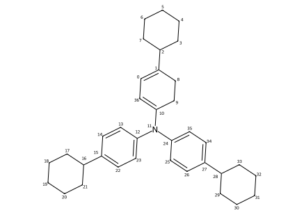 C1=C(C2CCCCC2)CCC(N(c2ccc(C3CCCCC3)cc2)c2ccc(C3CCCCC3)cc2)=C1